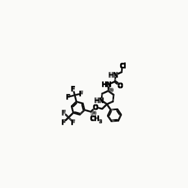 C[C@@H](OCC1(c2ccccc2)CC[C@H](NC(=O)NCCl)CN1)c1cc(C(F)(F)F)cc(C(F)(F)F)c1